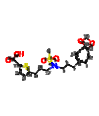 CS(=O)(=O)N(CCCc1ccc2c(c1)OCO2)CCCc1ccc(C(=O)O)s1